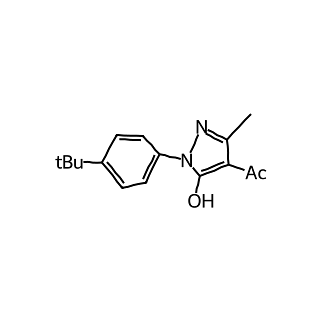 CC(=O)c1c(C)nn(-c2ccc(C(C)(C)C)cc2)c1O